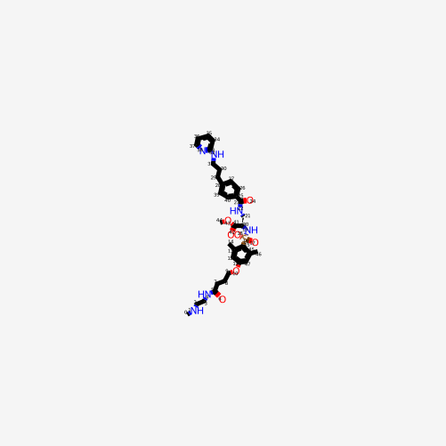 CNCCNC(=O)CCCOc1cc(C)c(S(=O)(=O)N[C@@H](CNC(=O)c2ccc(CCCNc3ccccn3)cc2)C(=O)OC)c(C)c1